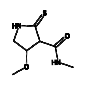 CNC(=O)C1C(=S)NCC1OC